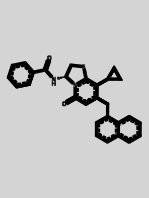 O=C(N[C@@H]1CSc2c(C3CC3)c(Cc3cccc4ccccc34)cc(=O)n21)c1ccccc1